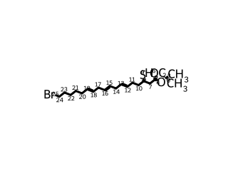 CC(C)(C)OC(=O)CC(=S)CCC=CCC=CCC=CCCCCCBr